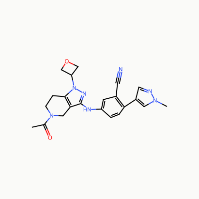 CC(=O)N1CCc2c(c(Nc3ccc(-c4cnn(C)c4)c(C#N)c3)nn2C2COC2)C1